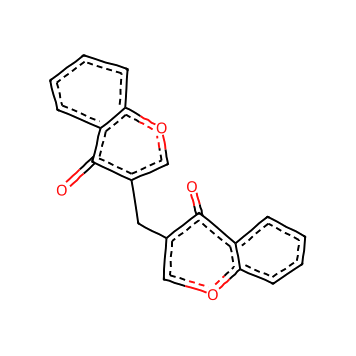 O=c1c(Cc2coc3ccccc3c2=O)coc2ccccc12